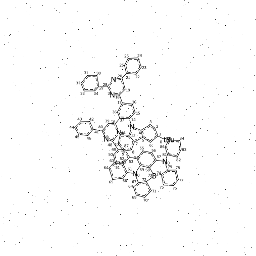 CC(C)(C)c1ccc2c(c1)c1ccccc1n2-c1ccc(-c2cc(-c3ccccc3)nc(-c3ccccc3)n2)cc1-c1cc(-c2ccccc2)nc(-c2cccc(-c3ccc4c5c3N(c3ccccc3)c3ccccc3B5c3ccccc3N4c3ccccc3)c2)n1